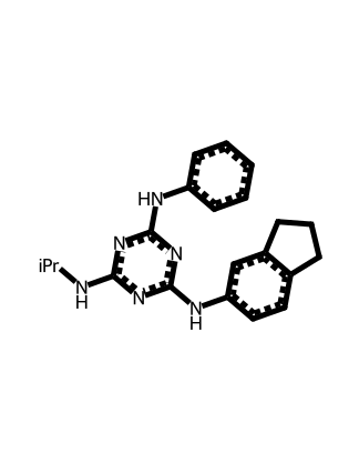 CC(C)Nc1nc(Nc2ccccc2)nc(Nc2ccc3c(c2)CCC3)n1